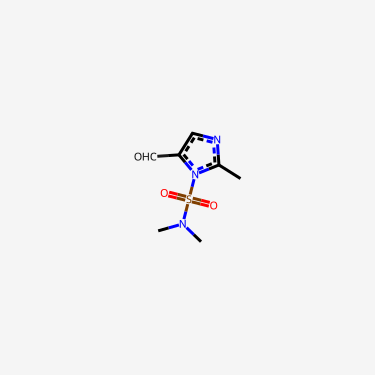 Cc1ncc(C=O)n1S(=O)(=O)N(C)C